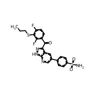 CCCSc1c(F)ccc(C(=O)c2n[nH]c3ncc(-c4ccc(S(N)(=O)=O)cc4)cc23)c1F